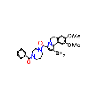 Bc1cc(C(=O)N2CCCN(C(=O)c3ccccc3)CC2)n2c1-c1cc(OC)c(OC)cc1CC2